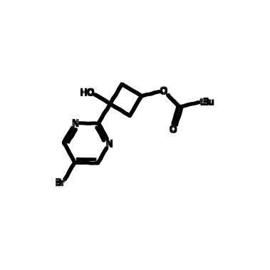 CC(C)(C)C(=O)OC1CC(O)(c2ncc(Br)cn2)C1